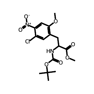 COC(=O)C(Cc1cc(Cl)c([N+](=O)[O-])cc1OC)NC(=O)OC(C)(C)C